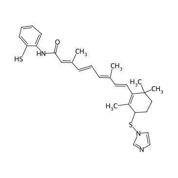 CC1=C(/C=C/C(C)=C/C=C/C(C)=C/C(=O)Nc2ccccc2S)C(C)(C)CCC1Sn1ccnc1